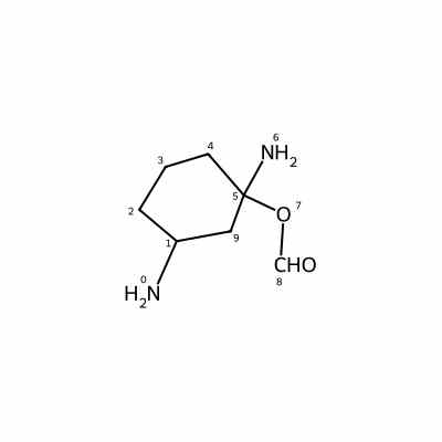 NC1CCCC(N)(OC=O)C1